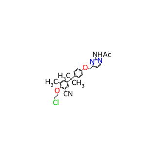 CC(=O)Nc1nccc(COc2ccc(C(C)(C)c3cc(C)c(OCCCl)c(C#N)c3)cc2)n1